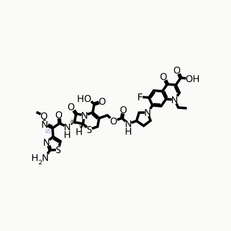 CCn1cc(C(=O)O)c(=O)c2cc(F)c(N3CCC(NC(=O)OCC4=C(C(=O)O)N5C(=O)[C@@H](NC(=O)/C(=N\OC)c6csc(N)n6)[C@H]5SC4)C3)cc21